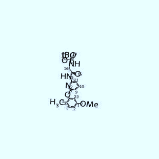 COc1ccc(C)c(Oc2cccc(NC(=O)CNC(=O)OC(C)(C)C)n2)c1